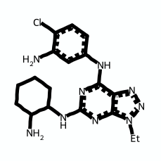 CCn1nnc2c(Nc3ccc(Cl)c(N)c3)nc(NC3CCCCC3N)nc21